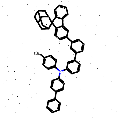 CC(C)(C)c1ccc(N(c2ccc(-c3ccccc3)cc2)c2cccc(-c3cccc(-c4ccc5c(c4)-c4ccccc4C54C5CC6CC(C5)CC4C6)c3)c2)cc1